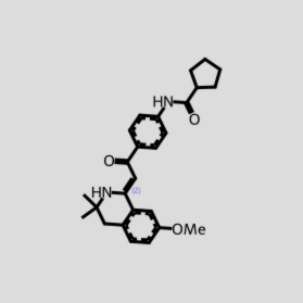 COc1ccc2c(c1)/C(=C/C(=O)c1ccc(NC(=O)C3CCCC3)cc1)NC(C)(C)C2